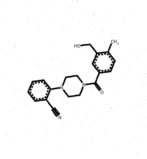 Cc1ccc(C(=O)N2CCN(c3ccccc3C#N)CC2)cc1CO